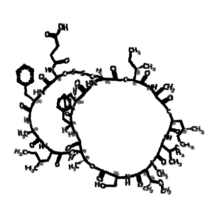 C=C1NC(=O)[C@H]([C@@H](C)CC)CC(=O)[C@@H]2CSSC[C@H](NC(=O)CCC(=O)O)C(=O)N[C@H](Cc3ccccc3)C(=O)N[C@H](C)C(=O)NC(C[C@@H](C)CC)C(=O)C[C@@H](C(=O)N[C@H](Cc3ccccc3)C(=O)N3CCC[C@H]3C(=O)N2)[C@@H](C)OC(=O)[C@H](CO)NC(=O)[C@H]([C@@H](C)OC)N(C)C(=O)C(C(C)C)NC(=O)[C@H](C[C@H](C)CC)CC1=O